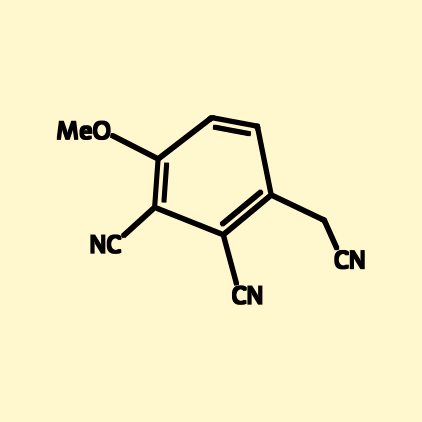 COc1ccc(CC#N)c(C#N)c1C#N